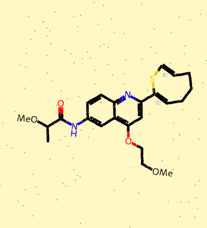 COCCOc1cc(/C2=C/CCC/C=C/S2)nc2ccc(NC(=O)C(C)OC)cc12